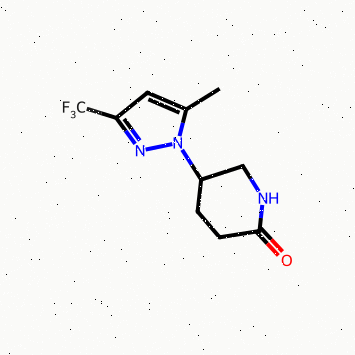 Cc1cc(C(F)(F)F)nn1C1CCC(=O)NC1